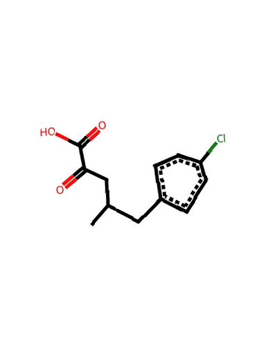 CC(CC(=O)C(=O)O)Cc1ccc(Cl)cc1